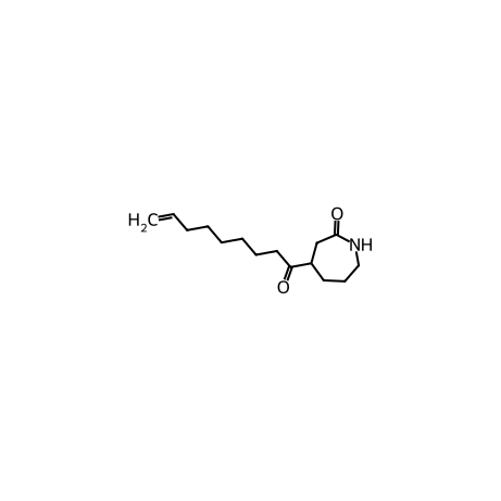 C=CCCCCCCC(=O)C1CCCNC(=O)C1